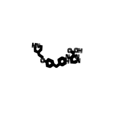 O=C(O)c1nnccc1Nc1ccc(Cc2ccc(OCCC3CCNCC3)cc2)cc1